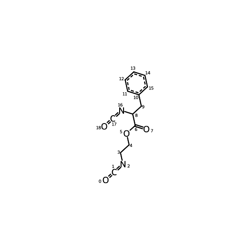 O=C=NCCOC(=O)C(Cc1ccccc1)N=C=O